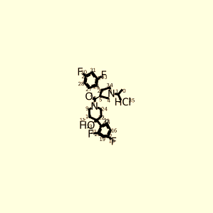 CC(C)N1C[C@@H](C(=O)N2C[C@@H](C)C(O)(c3ccc(F)cc3F)[C@@H](C)C2)[C@H](c2ccc(F)cc2F)C1.Cl